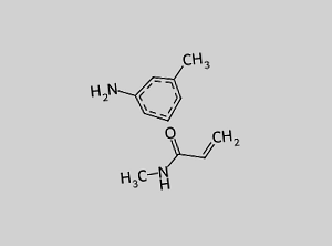 C=CC(=O)NC.Cc1cccc(N)c1